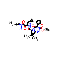 C=CCNC(=O)C(=O)C(CC1CC1)NC(=O)[C@@H]1C2C(CN1C(=O)[C@@H](NC(=O)OC(C)(C)C)C1CCCC1)C2(C)C